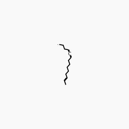 [CH2]CCC=C=CCCCCCC=CC